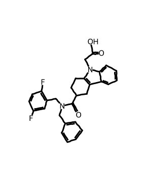 O=C(O)Cn1c2c(c3ccccc31)CC(C(=O)N(Cc1ccccc1)Cc1cc(F)ccc1F)CC2